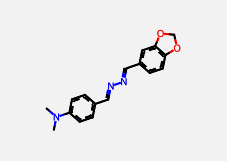 CN(C)c1ccc(/C=N/N=C/c2ccc3c(c2)OCO3)cc1